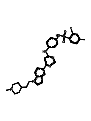 Cc1ccc(S(=O)(=O)Nc2ccc(Nc3cc(-c4ccc5c(ccn5CCC5CCN(C)CC5)c4)ncn3)cc2)c(F)c1